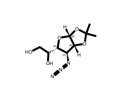 CC1(C)O[C@H]2O[C@@H](C(O)CO)[C@H](N=[N+]=[N-])[C@H]2O1